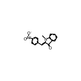 CN1/C(=C\c2ccc([N+](=O)[O-])cc2)C(=O)c2ccccc21